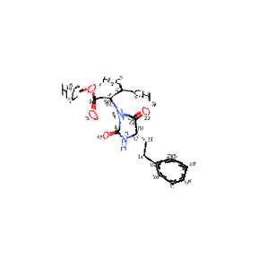 COC(=O)[C@@H](C(C)C)N1C(=O)N[C@@H](CCc2ccccc2)C1=O